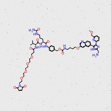 COCc1cccc(-c2nc(CN)[nH]c2-c2ccc3ncc(OCCCCNC(=O)OCc4ccc(NC(=O)C(CCCNC(N)=O)NC(=O)[C@@H](NC(=O)CCOCCOCCOCCOCCN5C(=O)C=CC5=O)C(C)C)cc4)cc3c2)n1